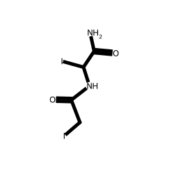 NC(=O)C(I)NC(=O)CI